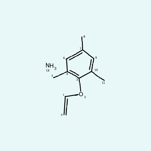 C=COc1c(C)cc(C)cc1C.N